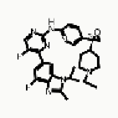 CCN1CCC([C@]2(c3ccc(Nc4ncc(F)c(-c5cc(F)c6nc(C)n(C(C)C)c6c5)n4)nc3)CO2)CC1